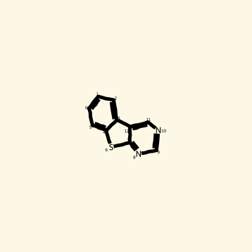 c1ccc2c(c1)sc1ncncc12